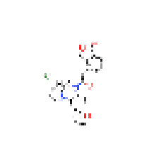 CN(C(=O)Cc1cccc2c1COC2=O)[C@H]1CC[C@]2(CCCO2)C[C@H]1N1CCCC1.Cl